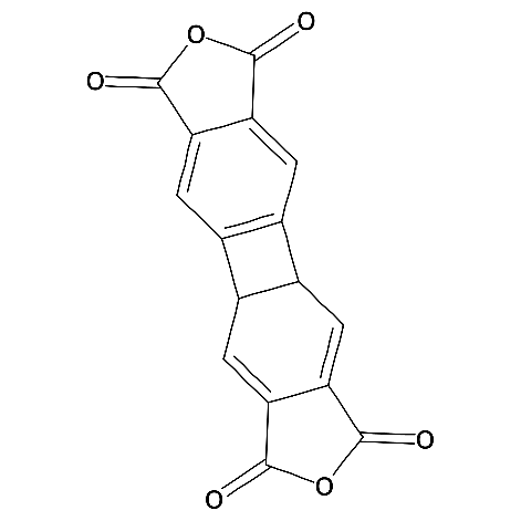 O=C1OC(=O)C2=CC3c4cc5c(cc4C3C=C12)C(=O)OC5=O